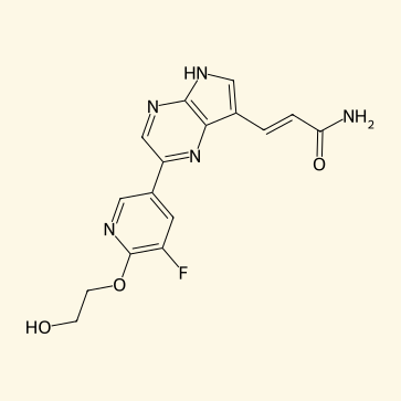 NC(=O)C=Cc1c[nH]c2ncc(-c3cnc(OCCO)c(F)c3)nc12